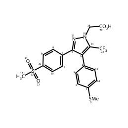 CSc1ccc(-c2c(-c3ccc(S(C)(=O)=O)cc3)nn(CC(=O)O)c2C(F)(F)F)cc1